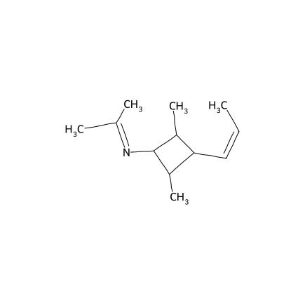 C/C=C\C1C(C)C(N=C(C)C)C1C